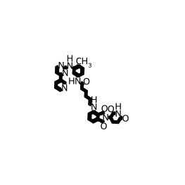 Cc1ccc(NC(=O)CCCCCNc2cccc3c2C(=O)N(C2CCC(=O)NC2=O)C3=O)cc1Nc1nccc(-c2cccnc2)n1